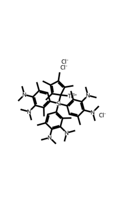 CC1=C(C)[C]([Ti+3])([Si](c2cc(C)c(N(C)C)c(N(C)C)c2C)(c2cc(C)c(N(C)C)c(N(C)C)c2C)c2cc(C)c(N(C)C)c(N(C)C)c2C)C(C)=C1C.[Cl-].[Cl-].[Cl-]